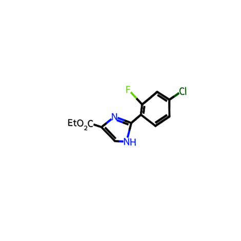 CCOC(=O)c1c[nH]c(-c2ccc(Cl)cc2F)n1